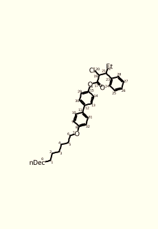 CCCCCCCCCCCCCCCCOc1ccc(-c2ccc(OC(=O)C(Cl)C(CC)c3ccccc3)cc2)cc1